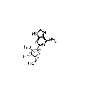 Nc1nc([C@H]2S[C@@H](CO)[C@H](O)[C@H]2O)nc2[nH]cnc12